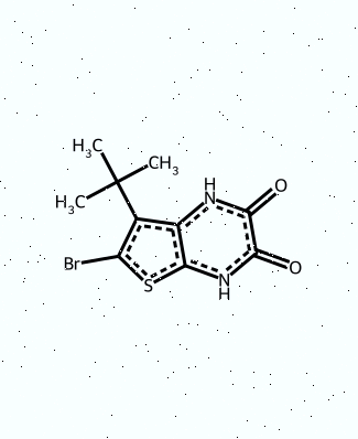 CC(C)(C)c1c(Br)sc2[nH]c(=O)c(=O)[nH]c12